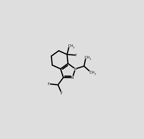 CC(C)n1nc(C(F)F)c2c1C(C)(F)CCC2